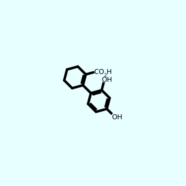 O=C(O)C1=C(c2ccc(O)cc2O)CCCC1